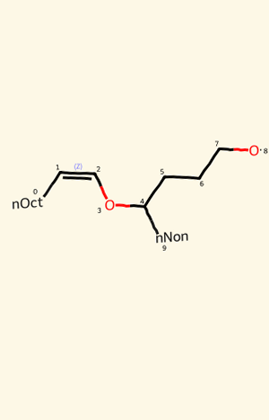 CCCCCCCC/C=C\OC(CCC[O])CCCCCCCCC